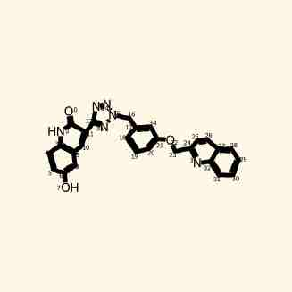 O=c1[nH]c2ccc(O)cc2cc1-c1nnn(Cc2cccc(OCc3ccc4ccccc4n3)c2)n1